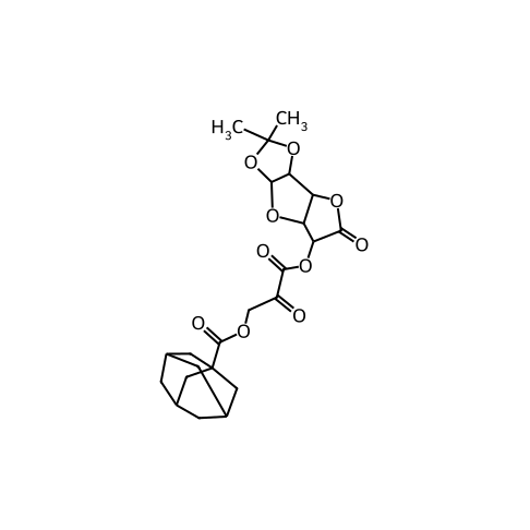 CC1(C)OC2OC3C(OC(=O)C(=O)COC(=O)C45CC6CC(CC(C6)C4)C5)C(=O)OC3C2O1